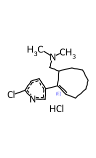 CN(C)CC1CCCCC/C=C\1c1ccc(Cl)nc1.Cl